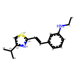 CCNc1cccc(C=Cc2nc(C(C)C)cs2)c1